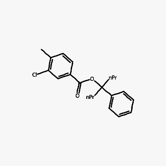 CCCC(CCC)(OC(=O)c1ccc(C)c(Cl)c1)c1ccccc1